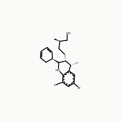 C[C@@H](CO)CC[C@H]1C([C@@H]2C=CC=CC2)Nc2c(F)cc(Br)cc2[C@H]1C